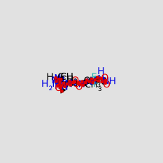 CC(C)(C1CCN(C(=O)COC(=O)N2CCN(c3cnc(-c4c(-c5nn(C(C)(C)C)c6ncnc(N)c56)noc4C4CC4)nc3)CC2)CC1)N1CCN(c2c(F)cc(NC3CCC(=O)NC3=O)cc2F)CC1